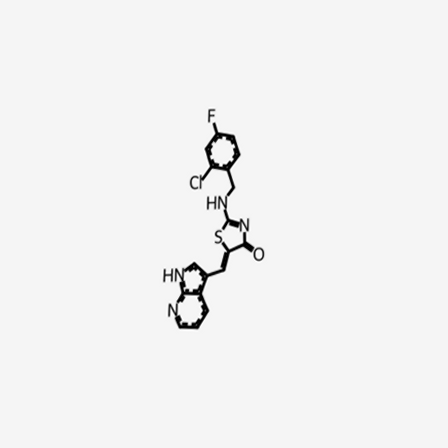 O=C1N=C(NCc2ccc(F)cc2Cl)S/C1=C\c1c[nH]c2ncccc12